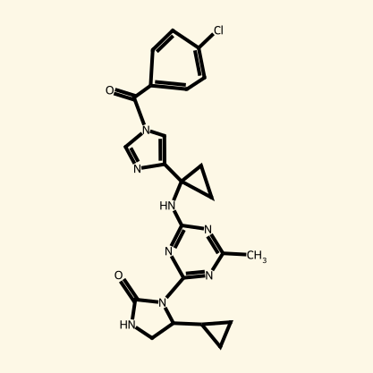 Cc1nc(NC2(c3cn(C(=O)c4ccc(Cl)cc4)cn3)CC2)nc(N2C(=O)NCC2C2CC2)n1